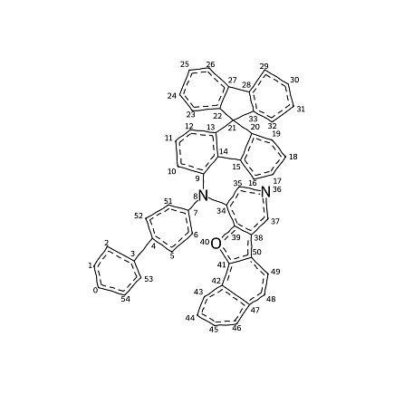 c1ccc(-c2ccc(N(c3cccc4c3-c3ccccc3C43c4ccccc4-c4ccccc43)c3cncc4c3oc3c5ccccc5ccc43)cc2)cc1